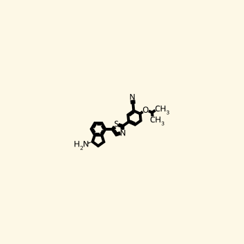 CC(C)OC1CC=C(c2ncc(-c3cccc4c3CC[C@@H]4N)s2)C=C1C#N